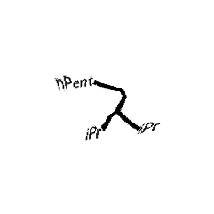 CCCCCC[C](C(C)C)C(C)C